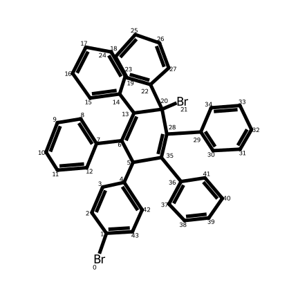 Brc1ccc(C2C(c3ccccc3)=C(c3ccccc3)C(Br)(c3ccccc3)C(c3ccccc3)=C2c2ccccc2)cc1